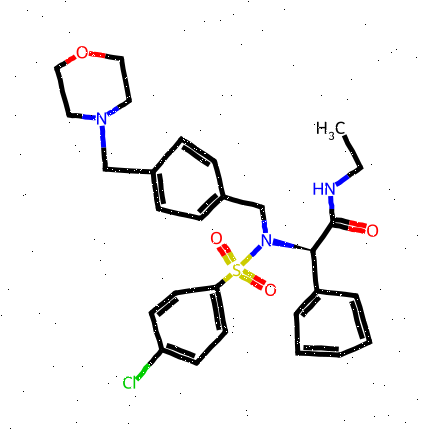 CCNC(=O)[C@@H](c1ccccc1)N(Cc1ccc(CN2CCOCC2)cc1)S(=O)(=O)c1ccc(Cl)cc1